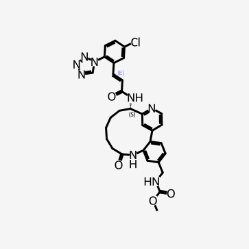 COC(=O)NCc1ccc2c(c1)NC(=O)CCCCC[C@H](NC(=O)/C=C/c1cc(Cl)ccc1-n1cnnn1)c1cc-2ccn1